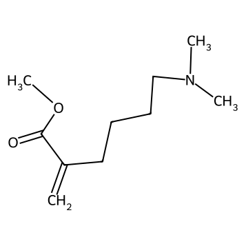 C=C(CCCCN(C)C)C(=O)OC